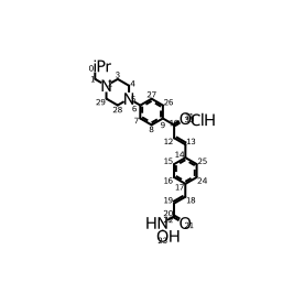 CC(C)CN1CCN(c2ccc(C(=O)C=Cc3ccc(C=CC(=O)NO)cc3)cc2)CC1.Cl